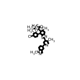 CC(=O)[C@@H](OC(C)(C)C)c1c(C)cc2nc(-c3cc(-c4ccc5c(cnn5C)c4)ncc3C)sc2c1-c1ccc(Cl)cc1